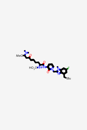 COC(CC(=O)/C=C/CCC(NC(=O)O)C(=O)Nc1cccn(Cc2nc3c(CC(C)(C)C)cc(F)cc3n2C)c1=O)N(C)C